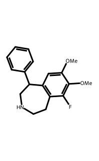 COc1cc2c(c(F)c1OC)CCNCC2c1ccccc1